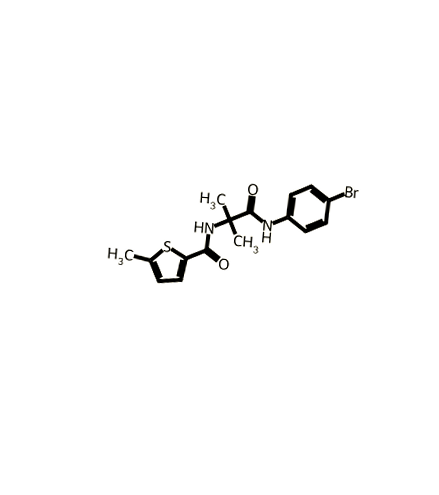 Cc1ccc(C(=O)NC(C)(C)C(=O)Nc2ccc(Br)cc2)s1